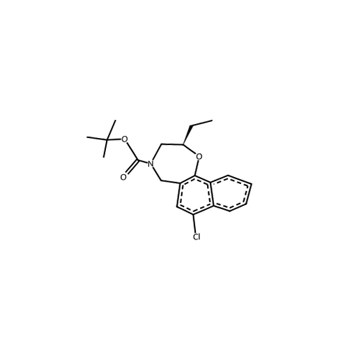 CC[C@@H]1CN(C(=O)OC(C)(C)C)Cc2cc(Cl)c3ccccc3c2O1